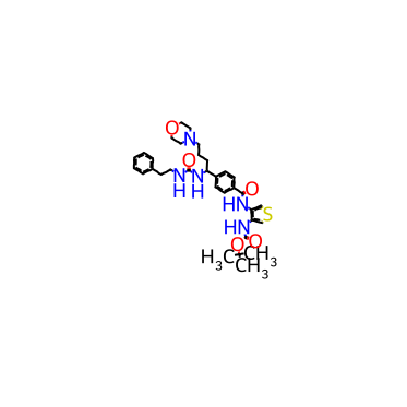 CC(C)(C)OC(=O)Nc1cscc1NC(=O)c1ccc(C(CCCN2CCOCC2)NC(=O)NCCc2ccccc2)cc1